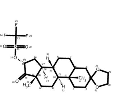 C[C@]12CCC3(CC1CC[C@@H]1[C@@H]2CC[C@]2(C)C(=O)[C@H](OS(=O)(=O)C(F)(F)F)C[C@@H]12)OCCO3